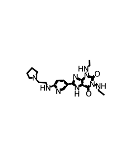 CCNn1c(=O)c2[nH]c(-c3ccc(NCCN4CCCC4)nc3)nc2n(NCC)c1=O